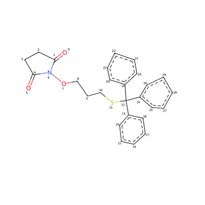 O=C1CCC(=O)N1OCCCSC(c1ccccc1)(c1ccccc1)c1ccccc1